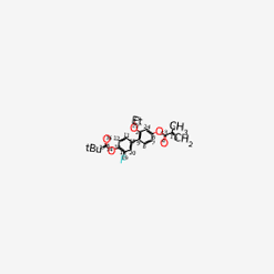 C=C(C)C(=O)Oc1ccc(-c2ccc(OC(=O)C(C)(C)C)c(F)c2)c(OCC)c1